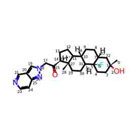 C[C@@]1(O)CC[C@@]2(F)[C@H](CC[C@H]3[C@@H]4CC[C@H](C(=O)Cn5cc6cnccc6n5)[C@@]4(C)CC[C@@H]32)C1